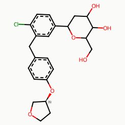 OCC1OC(c2ccc(Cl)c(Cc3ccc(O[C@H]4CCOC4)cc3)c2)CC(O)C1O